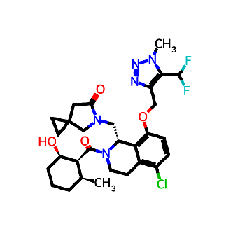 C[C@H]1CCC[C@@H](O)[C@H]1C(=O)N1CCc2c(Cl)ccc(OCc3nnn(C)c3C(F)F)c2[C@H]1CN1CC2(CC2)CC1=O